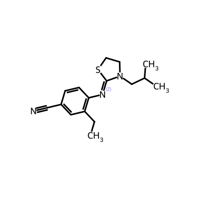 CCc1cc(C#N)ccc1/N=C1\SCCN1CC(C)C